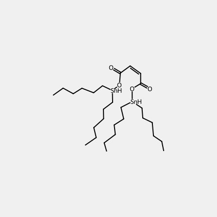 CCCCC[CH2][SnH]([CH2]CCCCC)[O]C(=O)/C=C\C(=O)[O][SnH]([CH2]CCCCC)[CH2]CCCCC